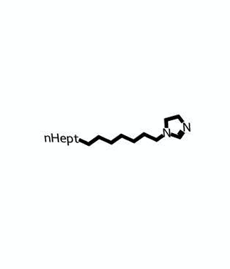 CCCCCCCCCCCCCCN1C=NCC1